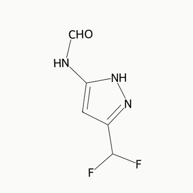 O=CNc1cc(C(F)F)n[nH]1